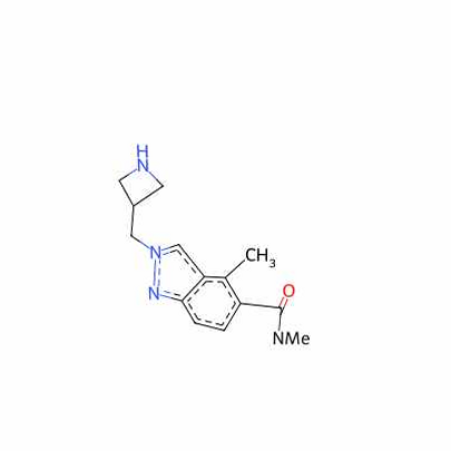 CNC(=O)c1ccc2nn(CC3CNC3)cc2c1C